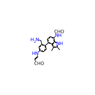 Cc1[nH]c2c(NC=O)ccc(-c3ccc(NC=CC=O)cc3CN)c2c1C